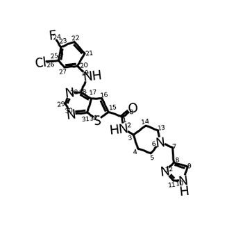 O=C(NC1CCN(Cc2c[nH]cn2)CC1)c1cc2c(Nc3ccc(F)c(Cl)c3)ncnc2s1